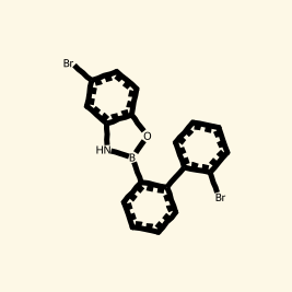 Brc1ccc2c(c1)NB(c1ccccc1-c1ccccc1Br)O2